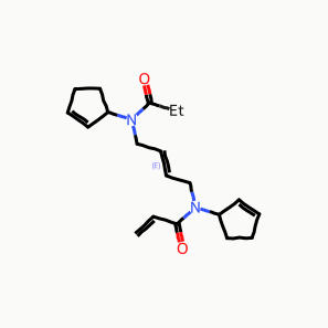 C=CC(=O)N(C/C=C/CN(C(=O)CC)C1C=CCC1)C1C=CCC1